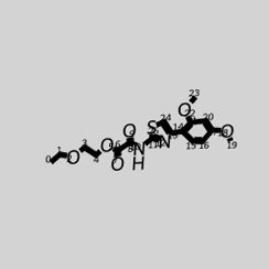 CCOCCOC(=O)C(=O)Nc1nc(-c2ccc(OC)cc2OC)cs1